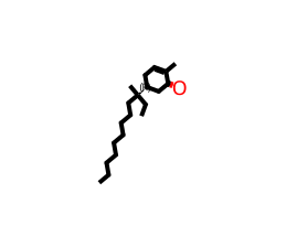 CCCCCCCCCC(C)(CC)[C@@H]1CC=C(C)C(=O)C1